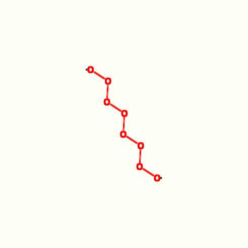 [O]OOOOOO[O]